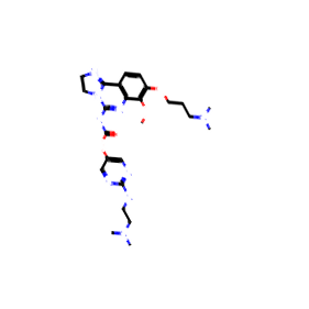 COc1c(OCCCN(C)C)ccc2c1N=C(NC(=O)Oc1cnc(NCCN(C)C)nc1)N1CCN=C21